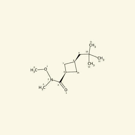 CON(C)C(=O)[C@H]1C[C@@H](CC(C)(C)C)C1